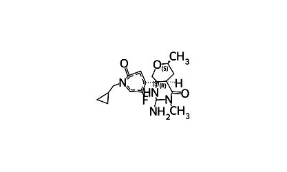 C[C@H]1C[C@H]2C(=O)N(C)C(N)N[C@@]2(c2cc(=O)n(CC3CC3)cc2F)CO1